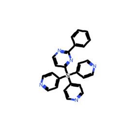 c1ccc(-c2nccc([Si](c3ccncc3)(c3ccncc3)c3ccncc3)n2)cc1